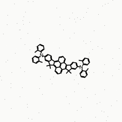 Cc1ccccc1N(c1ccc2c(c1)C(C)(C)c1c-2c2cccc3c4c(c5cccc1c5c23)C(C)(C)c1cc(N(c2ccccc2C)c2ccccc2C)ccc1-4)c1ccccc1C